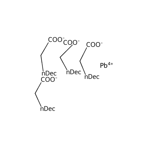 CCCCCCCCCCCC(=O)[O-].CCCCCCCCCCCC(=O)[O-].CCCCCCCCCCCC(=O)[O-].CCCCCCCCCCCC(=O)[O-].[Pb+4]